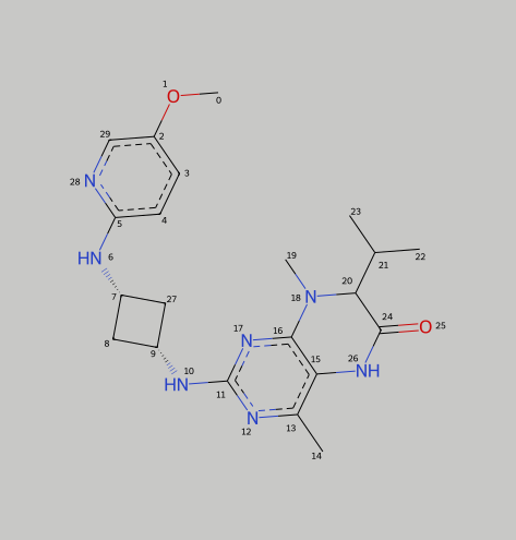 COc1ccc(N[C@H]2C[C@@H](Nc3nc(C)c4c(n3)N(C)C(C(C)C)C(=O)N4)C2)nc1